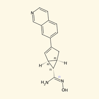 N/C(=N\O)[C@@H]1[C@H]2C=C(c3ccc4ccncc4c3)C[C@H]21